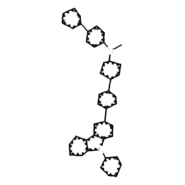 CN(c1ccc(-c2ccccc2)cc1)c1ccc(-c2ccc(-c3ccc4c(c3)c3ccccc3n4-c3ccccc3)cc2)cc1